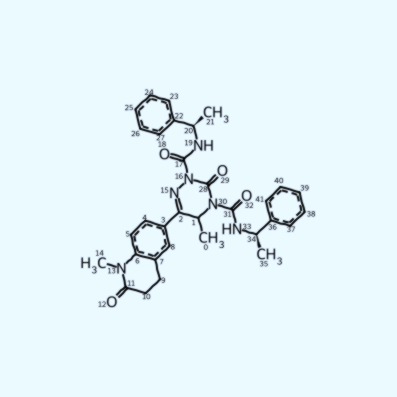 CC1C(c2ccc3c(c2)CCC(=O)N3C)=NN(C(=O)N[C@H](C)c2ccccc2)C(=O)N1C(=O)N[C@H](C)c1ccccc1